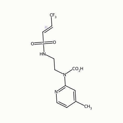 Cc1ccnc(N(CCNS(=O)(=O)/C=C/C(F)(F)F)C(=O)O)c1